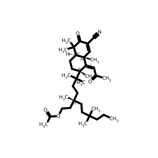 CCCC(C)(C)CC[C@](C)(CCOC(C)=O)CCC(C)(C)[C@]1(C)CC[C@H]2C(C)(C)C(=O)C(C#N)=C[C@]2(C)/C1=C/C(C)=O